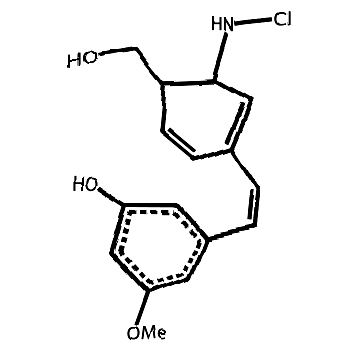 COc1cc(O)cc(/C=C\C2=CC(NCl)C(CO)C=C2)c1